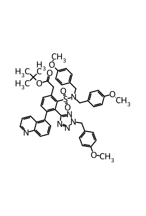 COc1ccc(CN(Cc2ccc(OC)cc2)S(=O)(=O)c2c(CC(=O)OC(C)(C)C)ccc(-c3cccc4ncccc34)c2-c2nnn(Cc3ccc(OC)cc3)n2)cc1